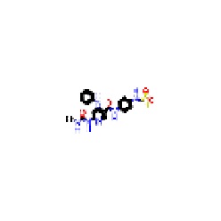 CCNC(=O)Nc1cc(Nc2ccccc2)c(C(=O)Nc2ccc(NC[SH](=O)=O)cc2)cn1